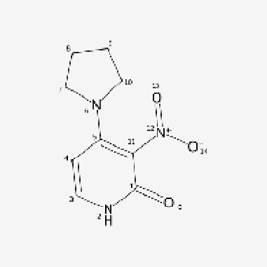 O=c1[nH]ccc(N2CCCC2)c1[N+](=O)[O-]